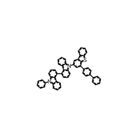 c1ccc(-c2ccc(-c3cc(-n4c5ccccc5c5c(-c6cccc7c6c6ccccc6n7-c6ccccc6)cccc54)cc4c3sc3ccccc34)cc2)cc1